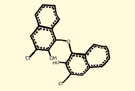 Oc1c(Cl)cc2ccccc2c1Oc1c(O)c(Cl)cc2ccccc12